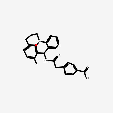 Cc1ccccc1C(NC(=O)Cc1ccc(C(=O)O)cc1)c1ccccc1N1CCCCC1